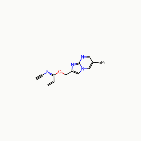 C#C/N=C(\C=C)OCc1cn2cc(CCC)cnc2n1